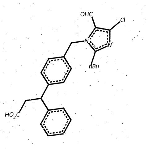 CCCCc1nc(Cl)c(C=O)n1Cc1ccc(C(CC(=O)O)c2ccccc2)cc1